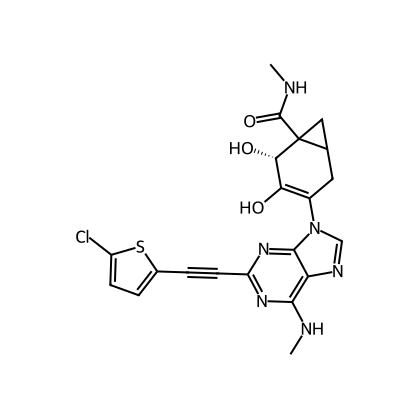 CNC(=O)C12CC1CC(n1cnc3c(NC)nc(C#Cc4ccc(Cl)s4)nc31)=C(O)[C@@H]2O